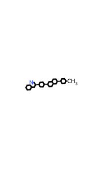 Cc1ccc(-c2ccc3cc(-c4ccc(-c5cnc6ccccc6c5)cc4)ccc3c2)cc1